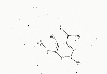 CCCC(=O)c1cc(C(C)(C)C)cc(CN)c1O